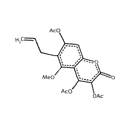 C=CCc1c(OC(C)=O)cc2oc(=O)c(OC(C)=O)c(OC(C)=O)c2c1OC